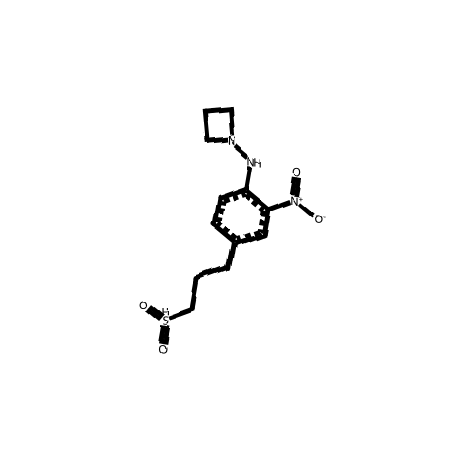 O=[N+]([O-])c1cc(CCC[SH](=O)=O)ccc1NN1CCC1